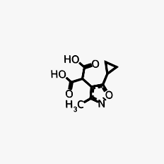 Cc1noc(C2CC2)c1C(C(=O)O)C(=O)O